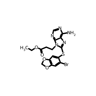 CCOC(=O)CCn1c(Sc2cc3c(cc2Br)OCO3)nc2c(N)ncnc21